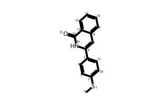 CSc1ccc(-c2cc3ccccc3c(=O)[nH]2)cc1